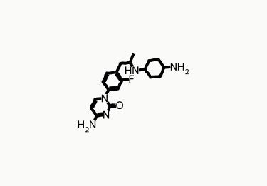 CC(Cc1ccc(-n2ccc(N)nc2=O)cc1F)NC1CCC(N)CC1